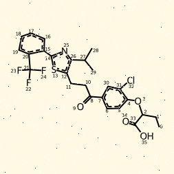 CCC(Oc1ccc(C(=O)CCc2sc(-c3ccccc3C(F)(F)F)nc2C(C)C)cc1Cl)C(=O)O